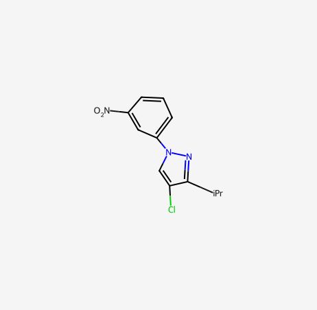 CC(C)c1nn(-c2cccc([N+](=O)[O-])c2)cc1Cl